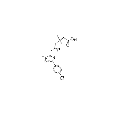 Cc1sc(-c2ccc(Cl)cc2)nc1CC(=O)CC(C)(C)CC(=O)O